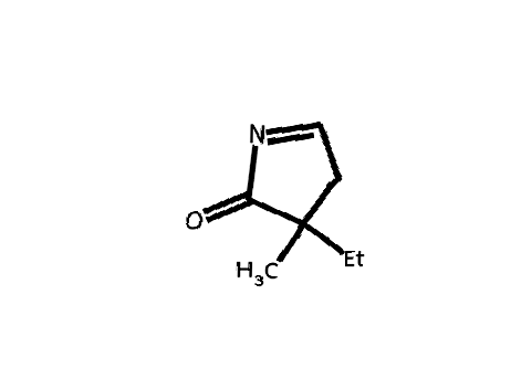 CCC1(C)CC=NC1=O